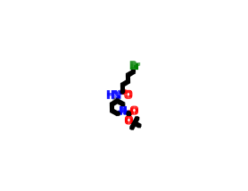 CC(C)(C)OC(=O)N1CCC[C@@H](NC(=O)CCCCBr)C1